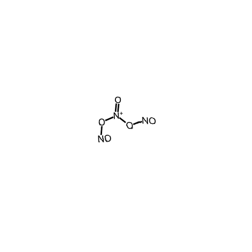 O=NO[N+](=O)ON=O